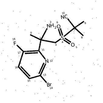 CC(N)(CS(=O)(=O)C(C)(C)C#N)c1nc(Br)ccc1F